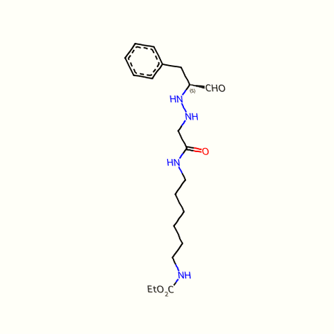 CCOC(=O)NCCCCCCNC(=O)CNN[C@H](C=O)Cc1ccccc1